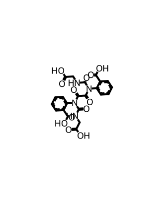 O=C(O)CNC(=O)N(C(=O)C(=O)N(C(=O)NCC(=O)O)c1ccccc1C(=O)O)c1ccccc1C(=O)O